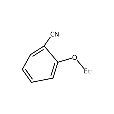 C[CH]Oc1ccccc1C#N